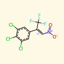 O=[N+]([O-])/C=C(/c1cc(Cl)c(Cl)c(Cl)c1)C(F)(F)F